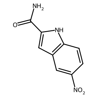 NC(=O)c1cc2cc([N+](=O)[O-])ccc2[nH]1